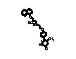 CC1CC(=O)NN=C1c1ccc(OCCNCC(O)COc2cccc3ccccc23)cc1